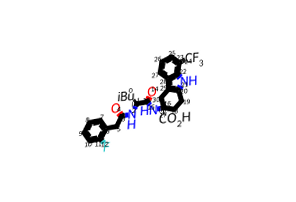 CCC(C)[C@H](NC(=O)Cc1ccccc1F)C(=O)N[C@]1(C(=O)O)CCc2[nH]c3c(C(F)(F)F)cccc3c2C1